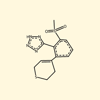 CS(=O)(=O)c1cccc(C2=CCSCC2)c1-c1nn[nH]n1